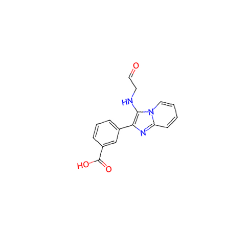 O=CCNc1c(-c2cccc(C(=O)O)c2)nc2ccccn12